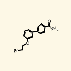 NC(=O)c1ccc(-c2cccc(OCCBr)c2)cc1